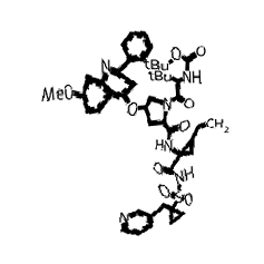 C=CC1CC1(NC(=O)C1CC(Oc2cc(-c3ccccc3)nc3cc(OC)ccc23)CN1C(=O)C(NC(=O)OC(C)(C)C)C(C)(C)C)C(=O)NS(=O)(=O)C1(Cc2cccnc2)CC1